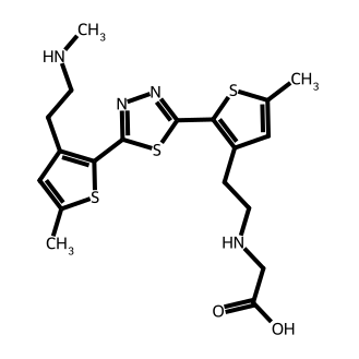 CNCCc1cc(C)sc1-c1nnc(-c2sc(C)cc2CCNCC(=O)O)s1